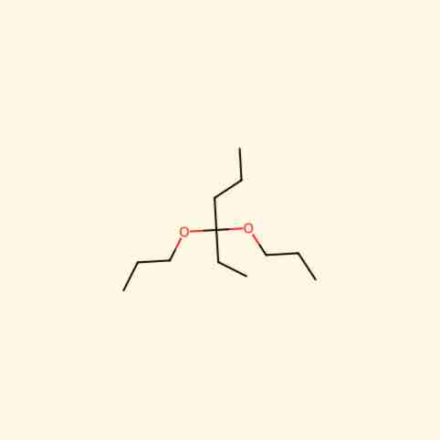 CCCOC(CC)(CCC)OCCC